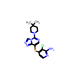 CC1(C)CCN(c2ncc(Sc3ccnc(N)c3Cl)c3nncn23)CC1